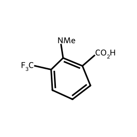 CNc1c(C(=O)O)cccc1C(F)(F)F